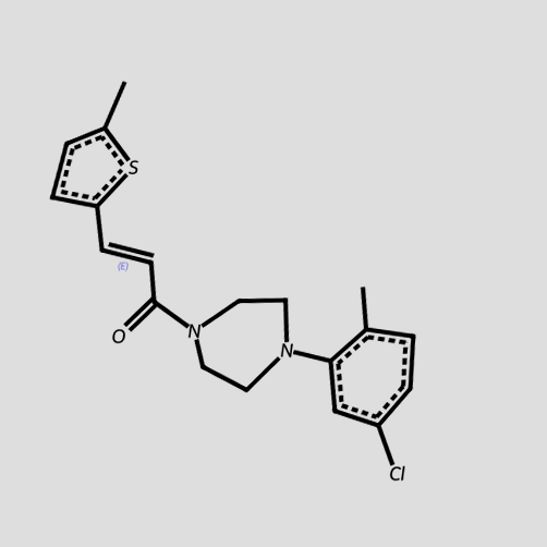 Cc1ccc(/C=C/C(=O)N2CCN(c3cc(Cl)ccc3C)CC2)s1